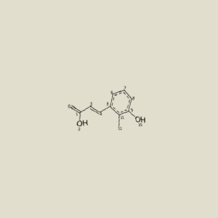 C=C(O)/C=C/c1cccc(O)c1C